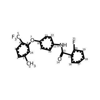 Cc1ccc(C(F)(F)F)c(Oc2ccc(NC(=O)c3ccccc3F)cc2)c1